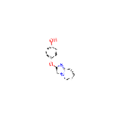 Oc1ccc(Oc2cn3ccccc3n2)cc1